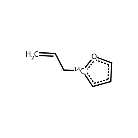 C=C[CH][14c]1ccco1